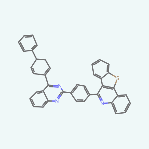 C1=CC(c2ccccc2)CC=C1c1nc(-c2ccc(-c3nc4ccccc4c4sc5ccccc5c34)cc2)nc2ccccc12